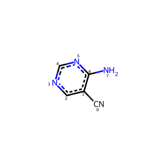 N#Cc1[c]ncnc1N